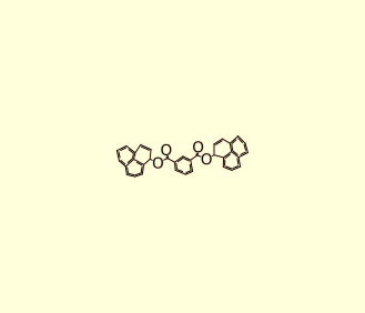 O=C(OC1C=Cc2cccc3cccc1c23)c1cccc(C(=O)OC2C=Cc3cccc4cccc2c34)c1